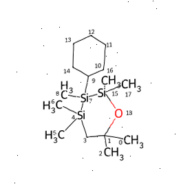 CC1(C)C[Si](C)(C)[Si](C)(C2CCCCC2)[Si](C)(C)O1